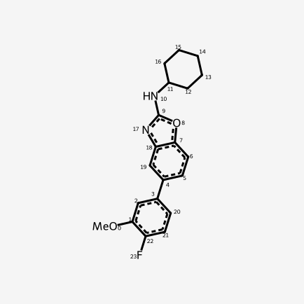 COc1cc(-c2ccc3oc(NC4CCCCC4)nc3c2)ccc1F